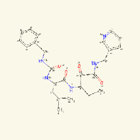 CCC(NC(=O)[C@H](CC(C)C)NC(=O)NCc1ccccc1)C(=O)C(=O)NCc1cccnc1